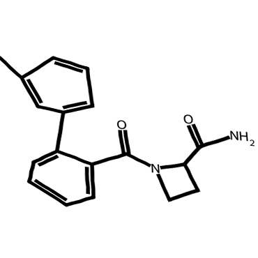 Cc1cccc(-c2ccccc2C(=O)N2CCC2C(N)=O)c1